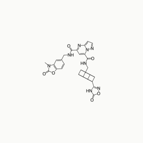 Cn1c(=O)oc2ccc(CNC(=O)c3cc(C(=O)NCC45C6C7C4C4C5C6C74c4noc(=O)[nH]4)n4nccc4n3)cc21